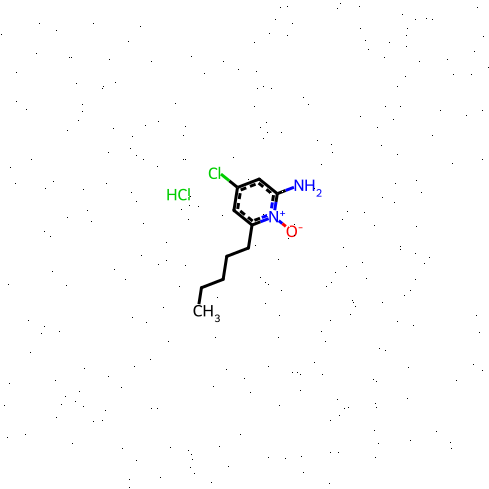 CCCCCc1cc(Cl)cc(N)[n+]1[O-].Cl